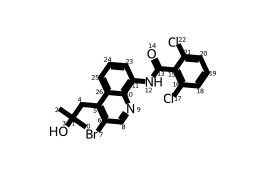 CC(C)(O)Cc1c(Br)cnc2c(NC(=O)c3c(Cl)cccc3Cl)cccc12